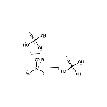 CC.CC.CCOC(=O)N(C)C(C)=O.OP(O)(O)=S.OP(O)(O)=S